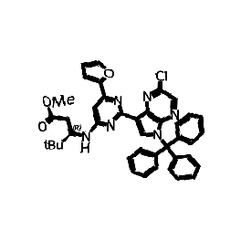 COC(=O)C[C@@H](Nc1cc(-c2ccco2)nc(-c2cn(C(c3ccccc3)(c3ccccc3)c3ccccc3)c3ncc(Cl)nc23)n1)C(C)(C)C